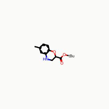 Cc1ccc2c(c1)NCC(C(=O)OC(C)(C)C)O2